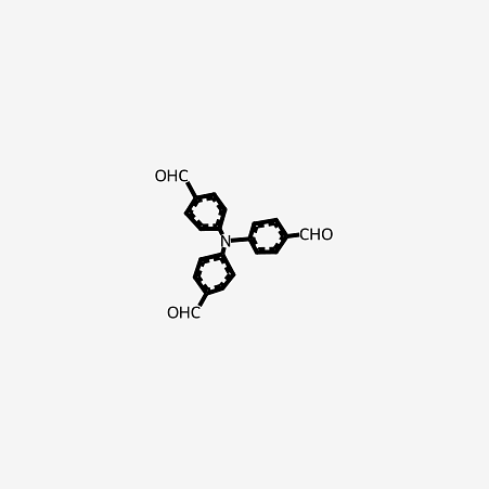 O=Cc1ccc(N(c2ccc(C=O)cc2)c2ccc(C=O)cc2)cc1